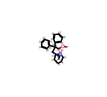 COC(=O)C(CC1CC2CCN1CC2)(c1ccccc1)c1ccccc1